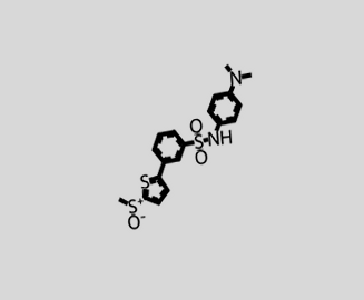 CN(C)c1ccc(NS(=O)(=O)c2cccc(-c3ccc([S+](C)[O-])s3)c2)cc1